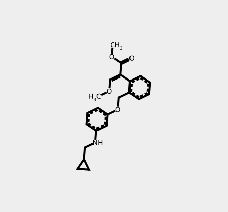 CO/C=C(/C(=O)OC)c1ccccc1COc1cccc(NCC2CC2)c1